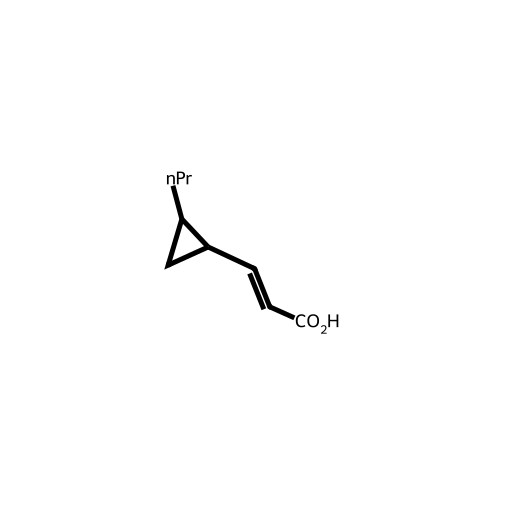 CCCC1CC1/C=C/C(=O)O